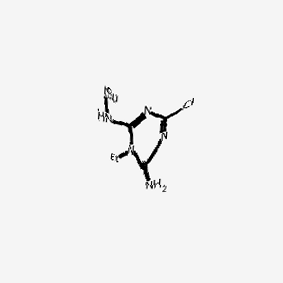 CCN1C(NC(C)(C)C)=NC(Cl)=NC1N